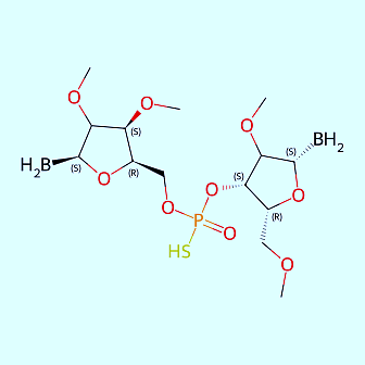 B[C@@H]1O[C@H](COP(=O)(S)O[C@@H]2C(OC)[C@H](B)O[C@@H]2COC)[C@H](OC)C1OC